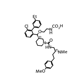 CCc1cccc(-c2c(Cl)cccc2C(OCCNC(=O)O)[C@@H]2CCCN(C(=O)NC[C@@H](CCc3ccc(OC)cc3)NC)C2)c1